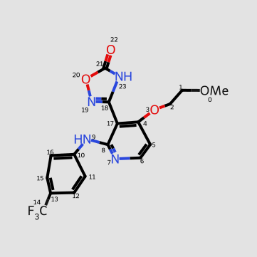 COCCOc1ccnc(Nc2ccc(C(F)(F)F)cc2)c1-c1noc(=O)[nH]1